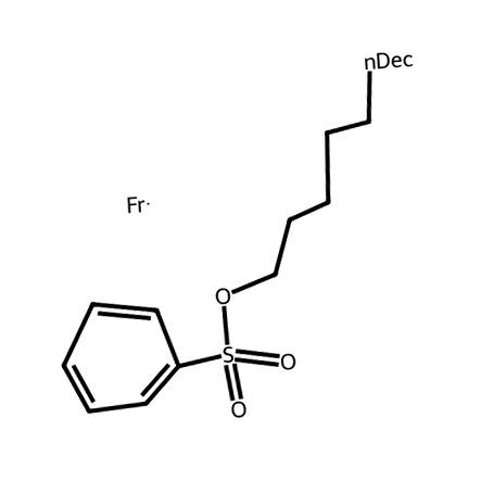 CCCCCCCCCCCCCCCOS(=O)(=O)c1ccccc1.[Fr]